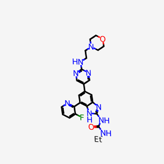 CCNC(=O)Nc1nc2cc(-c3cnc(NCCN4CCOCC4)nc3)cc(-c3ncccc3F)c2[nH]1